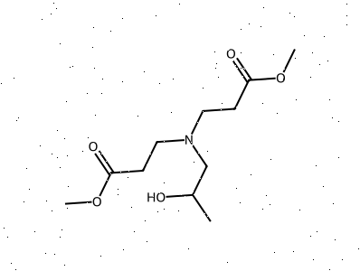 COC(=O)CCN(CCC(=O)OC)CC(C)O